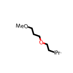 COCCCOCC[C](C)C